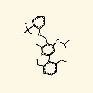 CCc1cccc(CC)c1-c1cc(OC(C)C)c(COc2ccccc2C(F)(F)F)c(C)n1